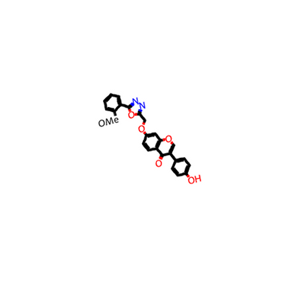 COc1ccccc1-c1nnc(COc2ccc3c(=O)c(-c4ccc(O)cc4)coc3c2)o1